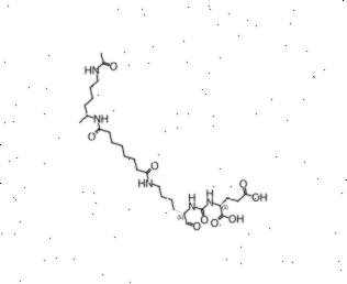 CC(=O)NCCCCC(C)NC(=O)CCCCCCC(=O)NCCCC[C@@H](C=O)NC(=O)N[C@@H](CCC(=O)O)C(=O)O